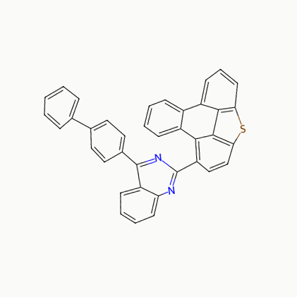 c1ccc(-c2ccc(-c3nc(-c4ccc5sc6cccc7c8ccccc8c4c5c67)nc4ccccc34)cc2)cc1